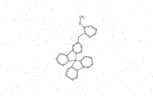 COc1ccccc1Cc1ccc2c(c1)-c1ccccc1C21c2ccccc2-c2ccccc21